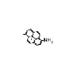 CC1=CC=C2C=Cc3c(N)ccc4c3C2(C)C1C=C4